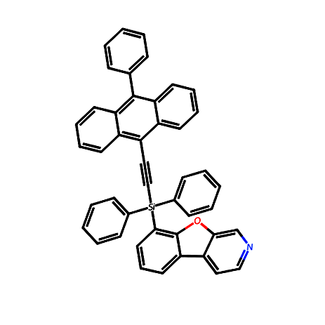 C(#C[Si](c1ccccc1)(c1ccccc1)c1cccc2c1oc1cnccc12)c1c2ccccc2c(-c2ccccc2)c2ccccc12